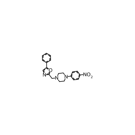 O=[N+]([O-])c1ccc(N2CCN(Cc3ncc(-c4ccccc4)o3)CC2)cc1